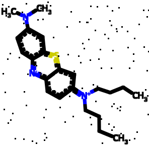 CCCC[N+](CCCC)=c1ccc2nc3ccc(N(C)C)cc3sc-2c1